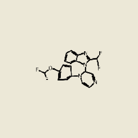 FC(F)Oc1ccc(N2C=CN=CC2n2c(C(F)F)nc3ccccc32)cc1